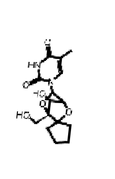 Cc1cn(C2O[C@]3(CO)C(O)C2OC32CCCC2)c(=O)[nH]c1=O